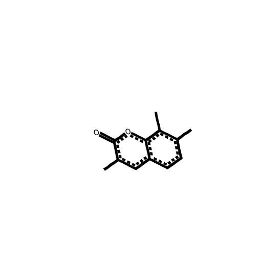 Cc1ccc2cc(C)c(=O)oc2c1C